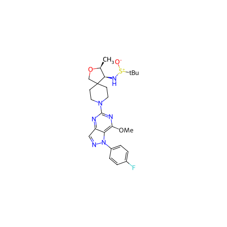 COc1nc(N2CCC3(CC2)CO[C@@H](C)[C@H]3N[S+]([O-])C(C)(C)C)nc2cnn(-c3ccc(F)cc3)c12